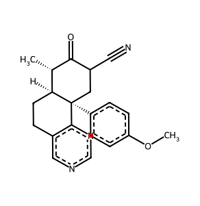 COc1ccc([C@@]23CC(C#N)C(=O)[C@@H](C)[C@@H]2CCc2cncnc23)cc1